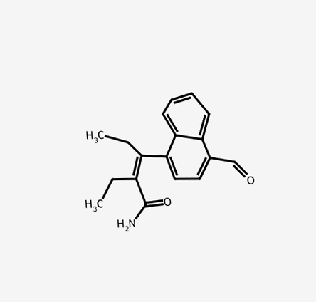 CCC(C(N)=O)=C(CC)c1ccc(C=O)c2ccccc12